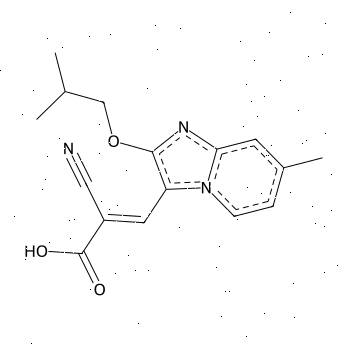 Cc1ccn2c(/C=C(\C#N)C(=O)O)c(OCC(C)C)nc2c1